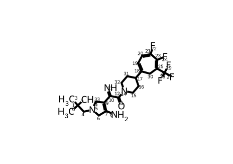 CC(C)(C)CN1CC(N)=C(C(=N)C(=O)N2CCC(C3=CC=C(F)C(F)=C(C(F)(F)F)C3)CC2)C1